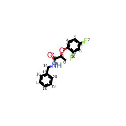 CC(Oc1ccc(F)cc1F)C(=O)NCc1ccccc1